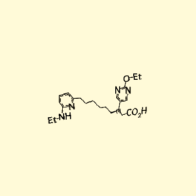 CCNc1cccc(CCCCCC[C@H](CC(=O)O)c2cnc(OCC)nc2)n1